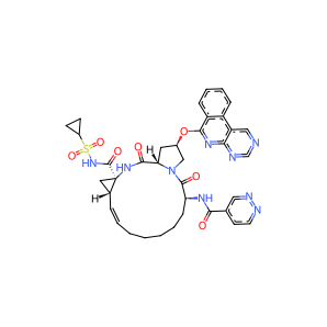 O=C(N[C@H]1CCCCCC=C[C@@H]2C[C@@]2(C(=O)NS(=O)(=O)C2CC2)NC(=O)[C@@H]2C[C@@H](Oc3nc4ncncc4c4ccccc34)CN2C1=O)c1ccnnc1